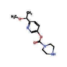 COC(C)c1ccc(OC(=O)N2CCNCC2)cn1